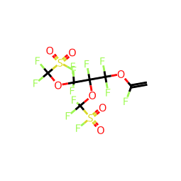 C=C(F)OC(F)(F)C(F)(OC(F)(F)S(=O)(=O)F)C(F)(F)OC(F)(F)S(=O)(=O)F